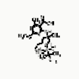 CCCCC(C)(CO[Si](C)(C)C(C)(C)C)Nc1nc(SC)nc(C)c1C(=O)O